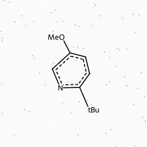 COc1ccc(C(C)(C)C)nc1